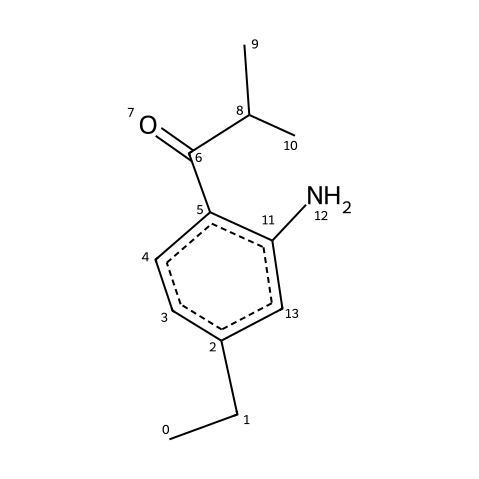 CCc1ccc(C(=O)C(C)C)c(N)c1